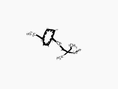 CC(C)NC(C)(C)COc1ccc(C(=O)O)cc1